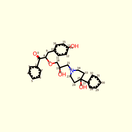 O=C(c1ccccc1)C(Cc1ccc(O)cc1)OCC(O)CN1CCC(O)(c2ccccc2)CC1